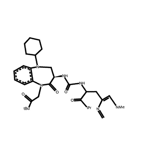 C=N/C(=C\NC)CC(NC(=O)N[C@@H]1CN(C2CCCCC2)c2ccccc2N(CC(=O)C(C)(C)C)C1=O)C(=O)C(C)C